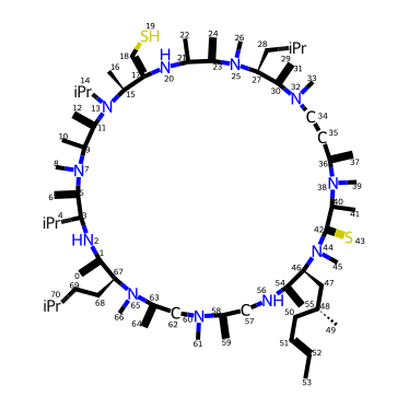 C=C1NC(C(C)C)C(=C)N(C)C(C)C(=C)N(C(C)C)[C@@H](C)/C(=C/S)NC(C)C(=C)N(C)[C@@H](CC(C)C)C(=C)N(C)CCC(=C)N(C)C(C)C(=S)N(C)[C@@H](C[C@H](C)C/C=C/C)C(=C)NCC(=C)N(C)CC(=C)N(C)[C@H]1CCC(C)C